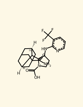 NC(=O)C12CC3C[C@H](C1)C(C1C(Nc4ncccc4C(F)(F)F)CCN1C(=O)O)[C@@H](C3)C2